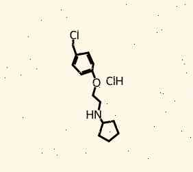 Cl.ClCc1ccc(OCCNC2CCCC2)cc1